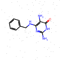 Nc1nc(NCc2ccccc2)c(N)c(=O)[nH]1